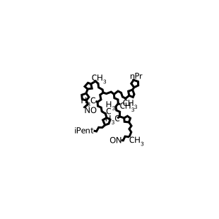 CCCC(C)CCCC1CCC(C(C)CCCC(C)CCC(CCCC(C)C2CCC(C3CCC(CCN=O)C3)C2)CCC(CCCC(C)C2CCC(C3CCC(CCC)C3)C2)CCC(C)CCCC(C)C2CCC(CCCC(C)CCN=O)C2)C1